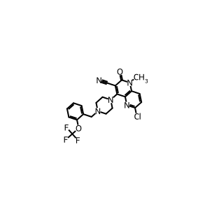 Cn1c(=O)c(C#N)c(N2CCN(Cc3ccccc3OC(F)(F)F)CC2)c2nc(Cl)ccc21